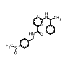 C[C@H](Nc1nccc(C(=O)NCc2ccc([S+](C)[O-])cc2)n1)c1ccccc1